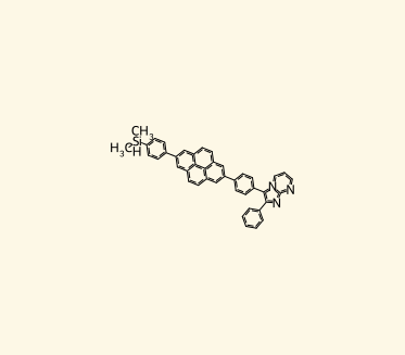 C[SiH](C)c1ccc(-c2cc3ccc4cc(-c5ccc(-c6c(-c7ccccc7)nc7ncccn67)cc5)cc5ccc(c2)c3c45)cc1